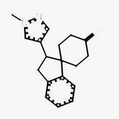 Cn1cc(C2Cc3ccccc3C23CCC(=O)CC3)cn1